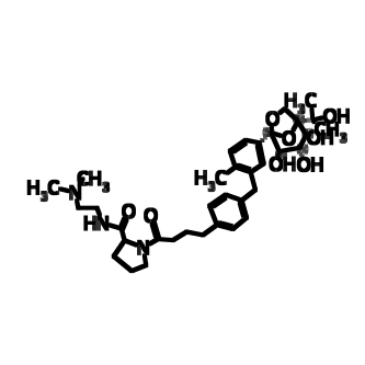 Cc1ccc([C@]23OC[C@](C(C)(C)O)(O2)[C@@H](O)[C@H](O)[C@H]3O)cc1Cc1ccc(CCCC(=O)N2CCCC2C(=O)NCCN(C)C)cc1